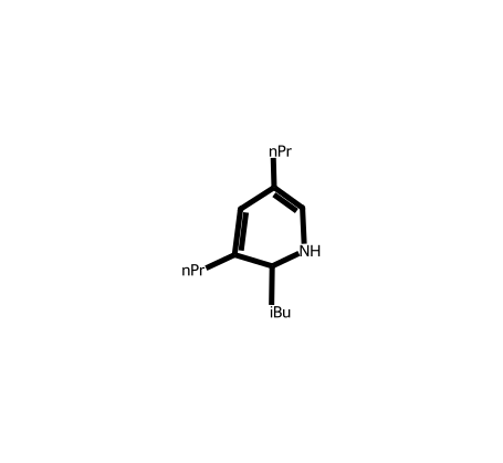 CCCC1=CNC(C(C)CC)C(CCC)=C1